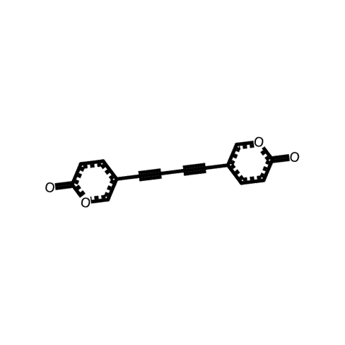 O=c1ccc(C#CC#Cc2ccc(=O)oc2)co1